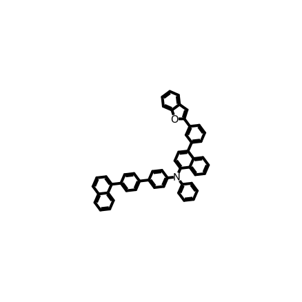 c1ccc(N(c2ccc(-c3ccc(-c4cccc5ccccc45)cc3)cc2)c2ccc(-c3cccc(-c4cc5ccccc5o4)c3)c3ccccc23)cc1